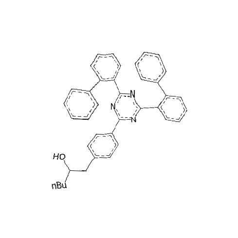 CCCCC(O)Cc1ccc(-c2nc(-c3ccccc3-c3ccccc3)nc(-c3ccccc3-c3ccccc3)n2)cc1